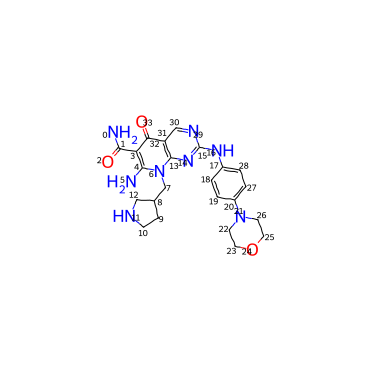 NC(=O)c1c(N)n(CC2CCNC2)c2nc(Nc3ccc(N4CCOCC4)cc3)ncc2c1=O